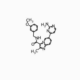 COc1cccc(CNC(=O)c2c(C)nc3ccc(-c4ccnc(N)n4)cn23)c1